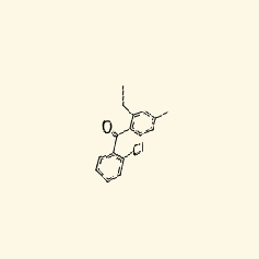 CCc1cc(C)ccc1C(=O)c1ccccc1Cl